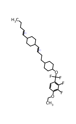 CCC/C=C/C1CCC(/C=C/CCC2CCC(OC(F)(F)c3ccc(OCC)c(F)c3F)CC2)CC1